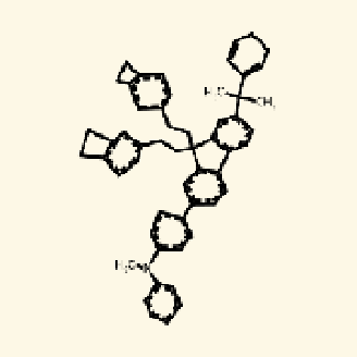 CN(c1ccccc1)c1ccc(-c2ccc3c(c2)C(CCc2ccc4c(c2)CC4)(CCc2ccc4c(c2)CC4)c2cc(C(C)(C)C4=CCCC=C4)ccc2-3)cc1